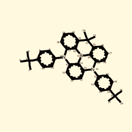 CC(C)(C)c1ccc(N2c3cccc4c3B3c5c2cccc5C(C)(C)c2cccc(c23)N4c2ccc(C(C)(C)C)cc2)cc1